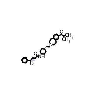 CC(C)C(=O)c1ccc2c(c1)CCN(CC[C@H]1CC[C@H](NC(=O)/C=C/C(=O)c3ccccc3)CC1)CC2